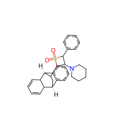 O=S1(=O)C(c2ccccc2)C(N2CCCCC2)C1C1C[C@H]2c3ccccc3[C@@H]1C1C=CC=CC12